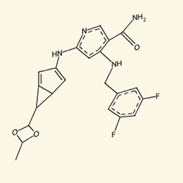 CC1OC(C2C3=CC(Nc4cc(NCc5cc(F)cc(F)c5)c(C(N)=O)cn4)=CC32)O1